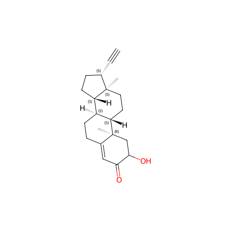 C#C[C@H]1CC[C@H]2[C@@H]3CCC4=CC(=O)C(O)C[C@]4(C)[C@H]3CC[C@]12C